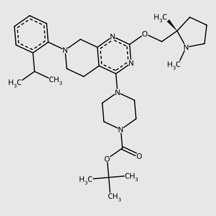 CC(C)c1ccccc1N1CCc2c(nc(OC[C@]3(C)CCCN3C)nc2N2CCN(C(=O)OC(C)(C)C)CC2)C1